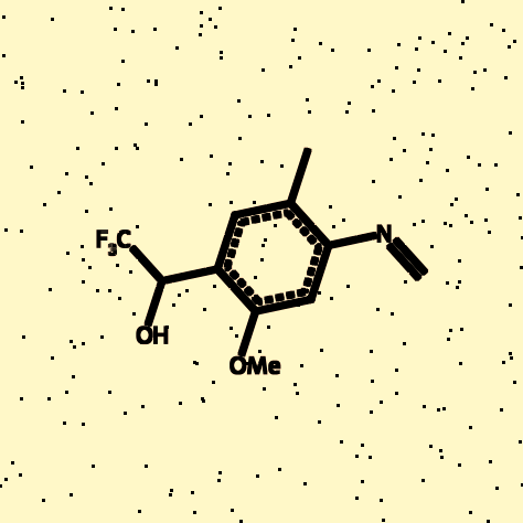 C=Nc1cc(OC)c(C(O)C(F)(F)F)cc1C